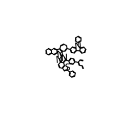 C=C/C=C(\C=C)c1ccc(-c2nc(-n3c4c(c5cc6ccccc6cc53)C=CCC(c3ccc5c6ccccc6n(-c6ccccc6)c5c3)=C4)nc3ccc4cc(-c5ccccc5)sc4c23)cc1